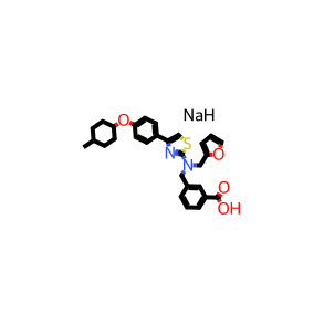 CC1CCC(Oc2ccc(-c3csc(N(Cc4cccc(C(=O)O)c4)Cc4ccco4)n3)cc2)CC1.[NaH]